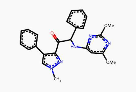 COc1cc(NC(C(=O)c2nn(C)cc2-c2ccccc2)c2ccccc2)nc(OC)n1